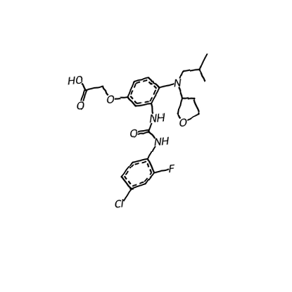 CC(C)CN(c1ccc(OCC(=O)O)cc1NC(=O)Nc1ccc(Cl)cc1F)C1CCOC1